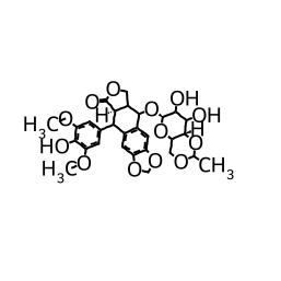 COc1cc(C2c3cc4c(cc3C(O[C@@H]3OC5COC(C)O[C@H]5C(O)C3O)C3COC(=O)[C@H]23)OCO4)cc(OC)c1O